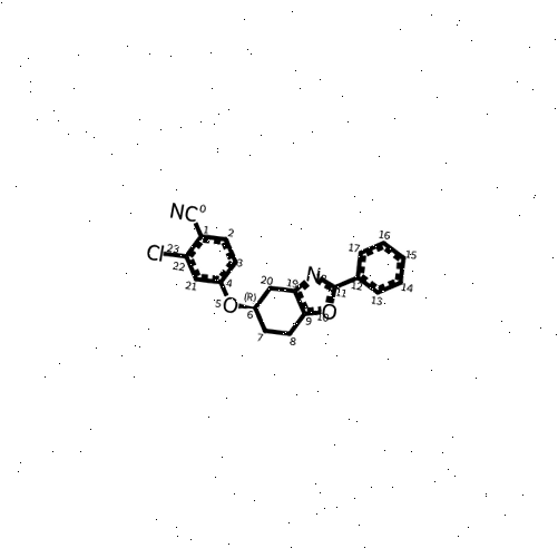 N#Cc1ccc(O[C@@H]2CCc3oc(-c4ccccc4)nc3C2)cc1Cl